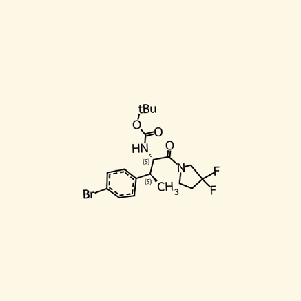 C[C@@H](c1ccc(Br)cc1)[C@H](NC(=O)OC(C)(C)C)C(=O)N1CCC(F)(F)C1